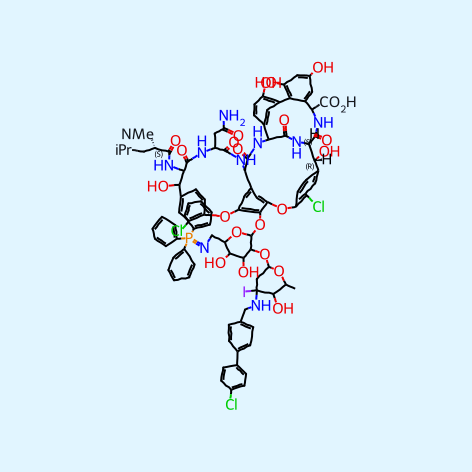 CN[C@@H](CC(C)C)C(=O)NC1C(=O)NC(CC(N)=O)C(=O)NC2C(=O)NC3C(=O)N[C@H](C(=O)NC(C(=O)O)c4cc(O)cc(O)c4-c4cc3ccc4O)[C@H](O)c3ccc(c(Cl)c3)Oc3cc2cc(c3OC2OC(CN=P(c3ccccc3)(c3ccccc3)c3ccccc3)C(O)C(O)C2OC2CC(I)(NCc3ccc(-c4ccc(Cl)cc4)cc3)C(O)C(C)O2)Oc2ccc(cc2Cl)C1O